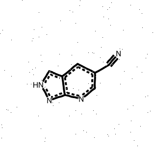 N#Cc1cnc2n[nH]cc2c1